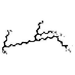 C=CC(CCCCC)CCCCCCCCCC(=CC(CCCC)CCCCC)CCCCCCC(C)CCCC(=C)C